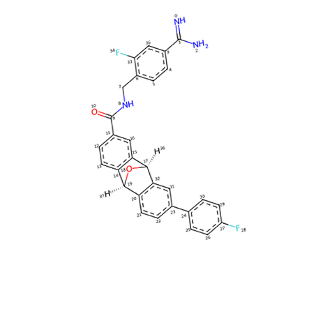 N=C(N)c1ccc(CNC(=O)c2ccc3c(c2)[C@@H]2O[C@H]3c3ccc(-c4ccc(F)cc4)cc32)c(F)c1